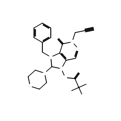 C#CCn1ncc2c(c1=O)N(Cc1ccccc1)C(N1CCNCC1)N2OC(=O)C(F)(F)F